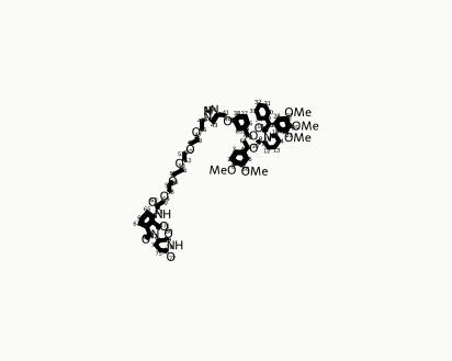 COc1ccc(CC[C@@H](OC(=O)[C@@H]2CCCCN2C(=O)[C@H](c2cc(OC)c(OC)c(OC)c2)C2CCCCC2)c2cccc(OCc3cn(CCOCCOCCOCCOCCOCC(=O)Nc4cccc5c4C(=O)N(C4CCC(=O)NC4=O)C5=O)nn3)c2)cc1OC